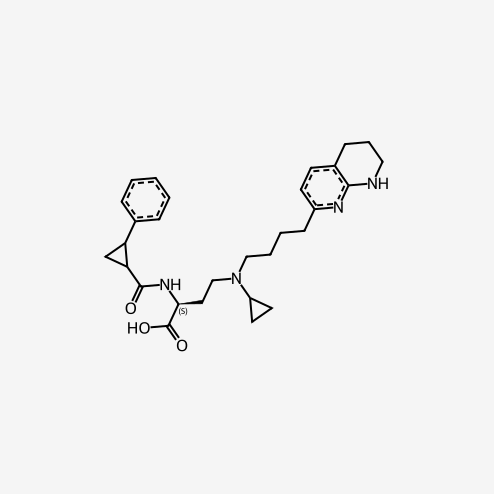 O=C(N[C@@H](CCN(CCCCc1ccc2c(n1)NCCC2)C1CC1)C(=O)O)C1CC1c1ccccc1